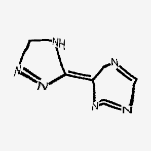 C1=NC(=C2N=NCN2)N=N1